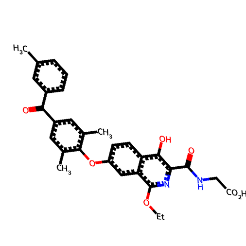 CCOc1nc(C(=O)NCC(=O)O)c(O)c2ccc(Oc3c(C)cc(C(=O)c4cccc(C)c4)cc3C)cc12